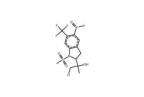 CC(O)(CCl)C1Cc2cc([N+](=O)[O-])c(C(F)(F)F)cc2N1S(C)(=O)=O